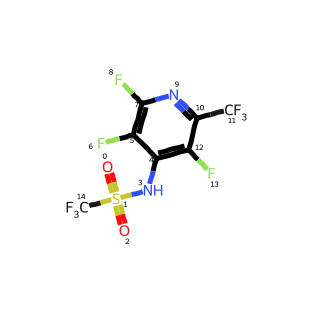 O=S(=O)(Nc1c(F)c(F)nc(C(F)(F)F)c1F)C(F)(F)F